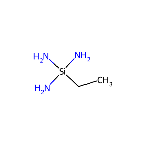 CC[Si](N)(N)N